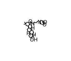 CC1(C)CC[C@]2(C(=O)NCCCN3CCS(=O)(=O)CC3)CC[C@]3(C)C(=C2C1)CC[C@@H]1[C@@]2(C)CC[C@H](O)C(C)(C)[C@@H]2CC[C@]13C